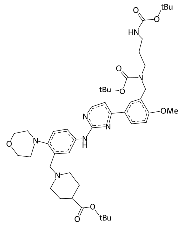 COc1ccc(-c2ccnc(Nc3ccc(N4CCOCC4)c(CN4CCC(C(=O)OC(C)(C)C)CC4)c3)n2)cc1CN(CCCNC(=O)OC(C)(C)C)C(=O)OC(C)(C)C